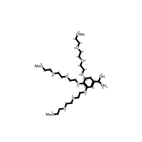 COCCOCCOCCOC1=C(OCCOCCOCCOC)[C@H](OCCOCCOCCOC)CC(C(N)O)=C1